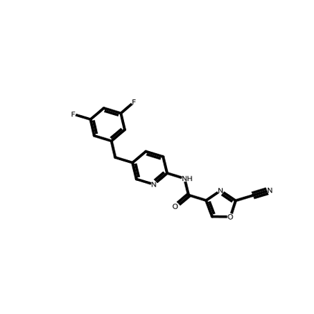 N#Cc1nc(C(=O)Nc2ccc(Cc3cc(F)cc(F)c3)cn2)co1